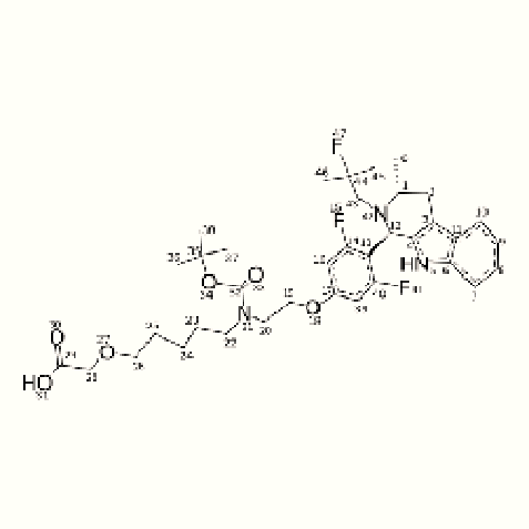 C[C@@H]1Cc2c([nH]c3ccccc23)[C@@H](c2c(F)cc(OCCN(CCCCCOCC(=O)O)C(=O)OC(C)(C)C)cc2F)N1CC(C)(C)F